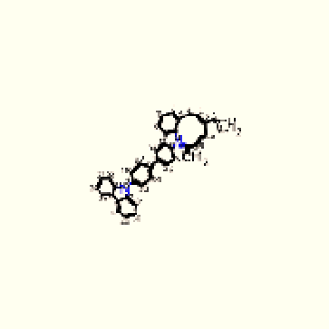 C=CC1=C/Cc2ccccc2N(c2ccc(-c3ccc(-n4c5ccccc5c5ccccc54)cc3)cc2)C(=C)/C=C\1